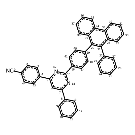 N#Cc1ccc(-c2cc(-c3ccccc3)nc(-c3ccc(-c4c(-c5ccccc5)c5ccccc5c5ccccc45)cc3)n2)cc1